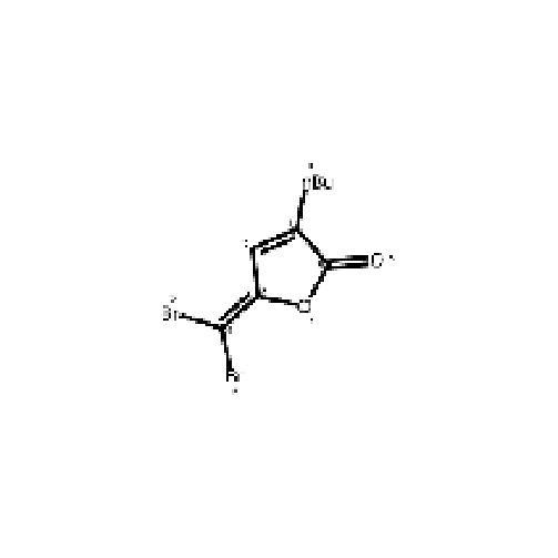 CCCCC1=CC(=C(Br)Br)OC1=O